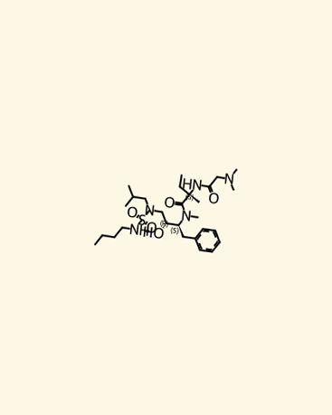 CCCCNS(=O)(=O)N(CC(C)C)C[C@@H](O)[C@H](Cc1ccccc1)N(C)C(=O)[C@](C)(CC)NC(=O)CN(C)C